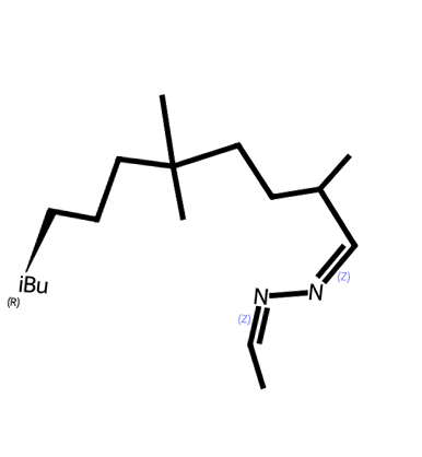 C/C=N\N=C/C(C)CCC(C)(C)CCC[C@H](C)CC